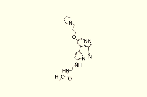 CC(=O)NCCNc1ccc(-c2cc(OCCCN3CCCC3)cn3ncc(C#N)c23)cn1